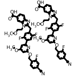 COCCn1c(Cc2cc(F)c(-c3cc(OC)cc(OCc4ccc(C#N)cc4F)n3)cc2F)nc2ccc(C(=O)O)cc21.COCCn1c(Cc2cc(F)c(-c3cc(OC)cc(OCc4ccc(C#N)cc4F)n3)cc2F)nc2ccc(C(=O)O)cc21